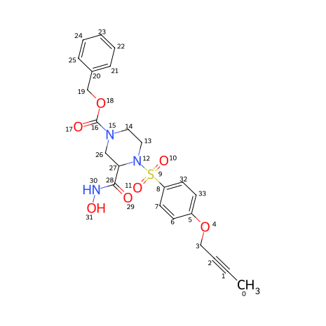 CC#CCOc1ccc(S(=O)(=O)N2CCN(C(=O)OCc3ccccc3)CC2C(=O)NO)cc1